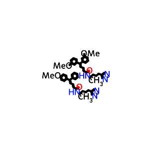 COc1ccc(/C(=C/C=C/C(=O)N[C@H](C)CCCc2cncnc2)c2ccccc2)cc1.COc1cccc(C(=C/C=C/C(=O)N[C@H](C)CCCc2cncnc2)c2cccc(OC)c2)c1